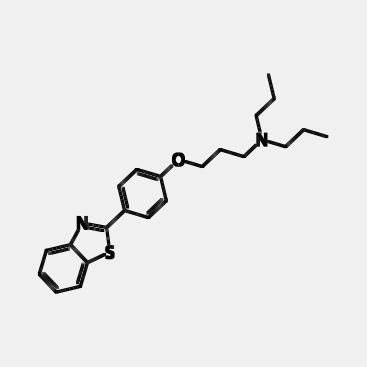 CCCN(CCC)CCCOc1ccc(-c2nc3ccccc3s2)cc1